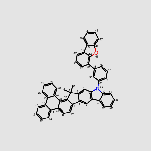 CC1(C)c2cc3c(cc2-c2ccc4c5ccccc5c5ccccc5c4c21)c1ccccc1n3-c1cccc(-c2cccc3c2oc2ccccc23)c1